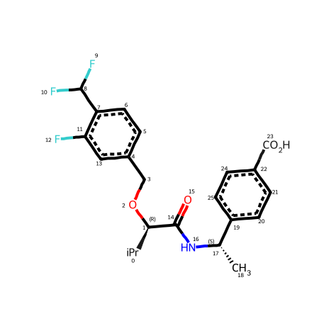 CC(C)[C@@H](OCc1ccc(C(F)F)c(F)c1)C(=O)N[C@@H](C)c1ccc(C(=O)O)cc1